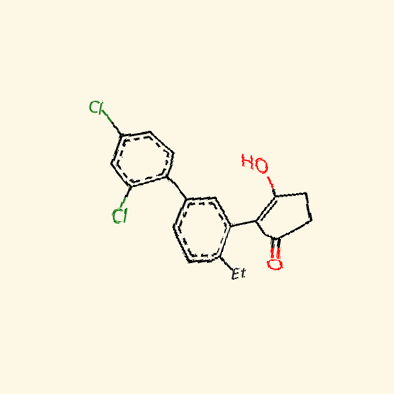 CCc1ccc(-c2ccc(Cl)cc2Cl)cc1C1=C(O)CCC1=O